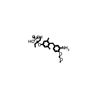 CCC(CC)(Oc1cc(C)c(Cc2ccc(OCOC)c(N)c2)c(C)c1)P(=O)(O)O